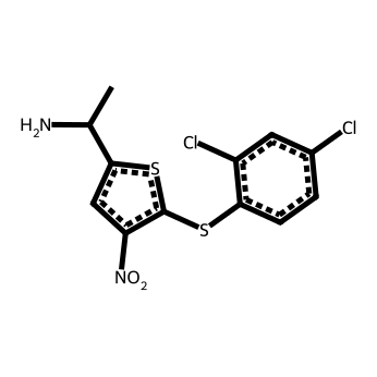 CC(N)c1cc([N+](=O)[O-])c(Sc2ccc(Cl)cc2Cl)s1